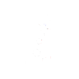 COc1ccc(-c2ccc(/C=C3\SC(=S)N(C4CC5CCC4C5)C3=O)o2)cc1C(=O)O